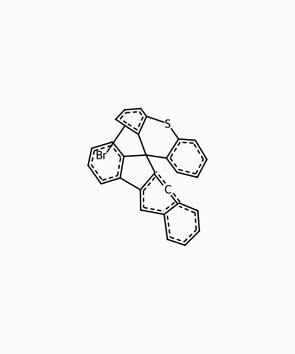 Brc1cccc2c1C1(c3ccccc3S2)c2ccccc2-c2cc3ccccc3cc21